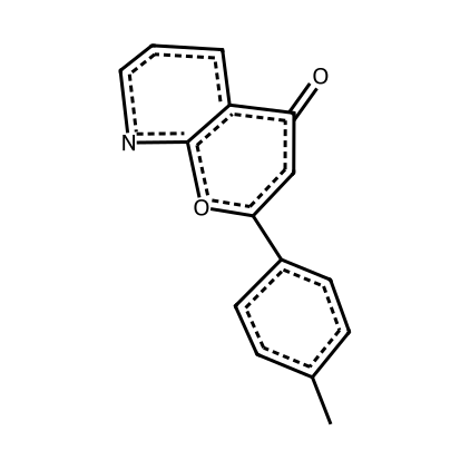 Cc1ccc(-c2cc(=O)c3cccnc3o2)cc1